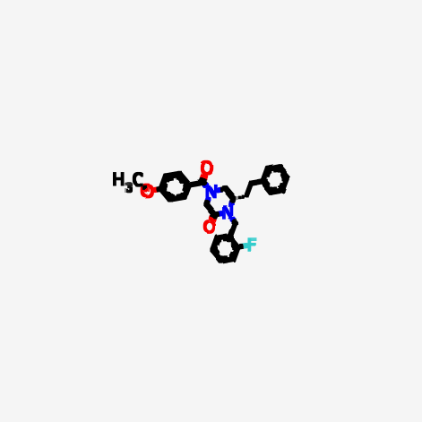 COc1ccc(C(=O)N2CC(=O)N(Cc3ccccc3F)[C@@H](CCc3ccccc3)C2)cc1